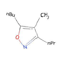 CCCCc1onc(CCC)c1C